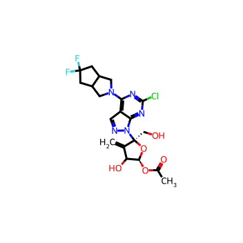 C=C1C(O)[C@H](OC(C)=O)O[C@]1(CO)n1ncc2c(N3CC4CC(F)(F)CC4C3)nc(Cl)nc21